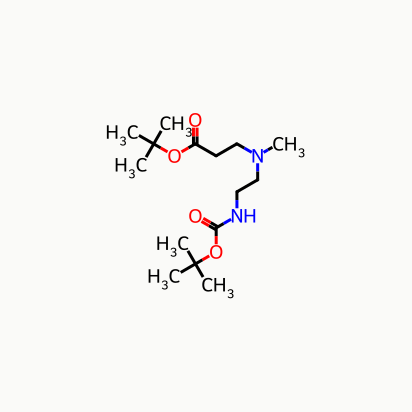 CN(CCNC(=O)OC(C)(C)C)CCC(=O)OC(C)(C)C